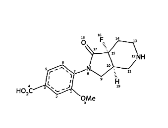 COc1cc(C(=O)O)ccc1N1C[C@@H]2CNCC[C@]2(F)C1=O